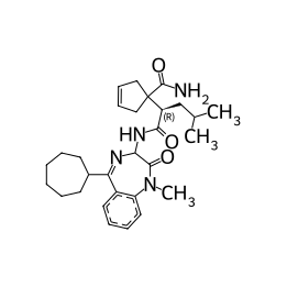 CC(C)C[C@@H](C(=O)NC1N=C(C2CCCCCC2)c2ccccc2N(C)C1=O)C1(C(N)=O)CC=CC1